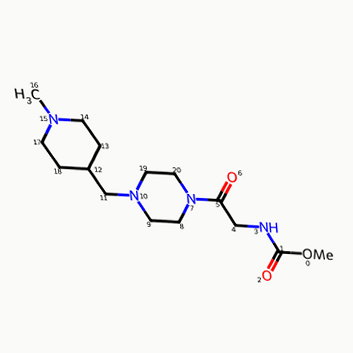 COC(=O)NCC(=O)N1CCN(CC2CCN(C)CC2)CC1